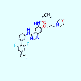 C=CC(=O)Nc1cc2c(Nc3cccc(-c4c(F)cc(C)cc4F)c3)ncnc2cc1OCCCN1CCOCC1